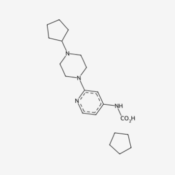 C1CCCC1.O=C(O)Nc1ccnc(N2CCN(C3CCCC3)CC2)c1